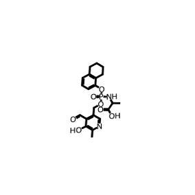 Cc1ncc(COP(=O)(NC(C)C(=O)O)Oc2cccc3c2CCCC3)c(C=O)c1O